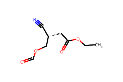 CCOC(=O)C[C@@H](C#N)COC=O